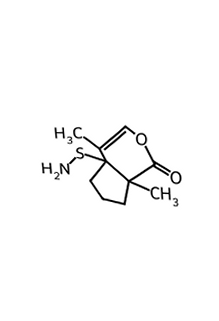 CC1=COC(=O)C2(C)CCCC12SN